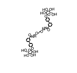 O=C(NCCOCCOCCNC(=O)c1cccc(-c2ccc(O[C@H]3O[C@H](CO)[C@@H](O)[C@@H](O)[C@H]3O)cc2)c1)c1cccc(-c2ccc(O[C@H]3O[C@H](CO)[C@@H](O)[C@@H](O)[C@H]3O)cc2)c1